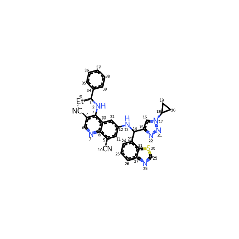 CCC(Nc1c(C#N)cnc2c(C#N)cc(NC(c3cn(C4CC4)nn3)c3cccc4ncsc34)cc12)c1ccccc1